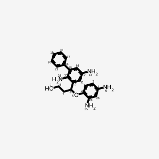 Nc1ccc(OC(CCO)c2cc(N)cc(-c3ccccc3)c2N)c(N)c1